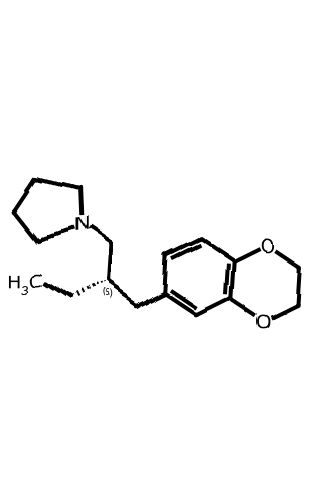 CC[C@@H](Cc1ccc2c(c1)OCCO2)CN1CCCC1